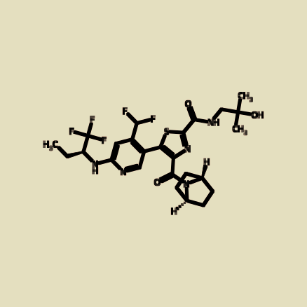 CC[C@H](Nc1cc(C(F)F)c(-c2sc(C(=O)NCC(C)(C)O)nc2C(=O)N2[C@H]3CC[C@H]2CC3)cn1)C(F)(F)F